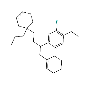 CCCC1(CCC(CC2=CCCCC2)c2ccc(CC)c(F)c2)CCCCC1